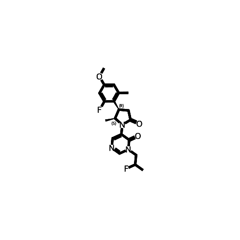 COc1cc(C)c([C@H]2CC(=O)N(c3cncn(CC(C)F)c3=O)[C@H]2C)c(F)c1